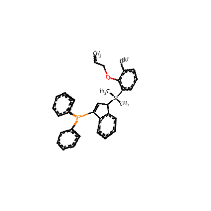 C=CCOc1c(C(C)(C)C)cccc1[Si](C)(C)C1C=C(P(c2ccccc2)c2ccccc2)c2ccccc21